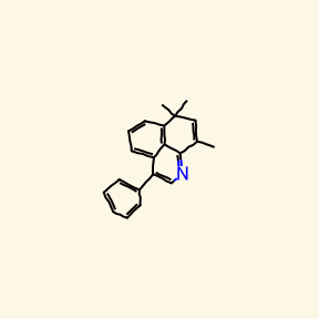 CC1=CC(C)(C)c2cccc3c(-c4ccccc4)cnc1c23